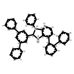 c1ccc(-c2cc(-c3ccccc3)cc(C3Nc4c(-c5ccccc5-c5ccccc5)ccnc4N3c3ccccc3)c2)cc1